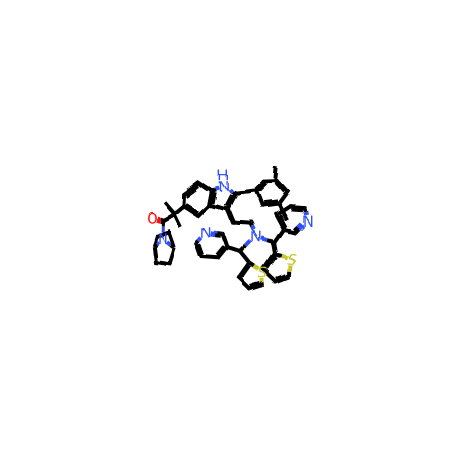 Cc1cc(C)cc(-c2[nH]c3ccc(C(C)(C)C(=O)N4C5CCC4CC5)cc3c2CCN(C(c2cccnc2)c2cccs2)C(c2cccnc2)c2cccs2)c1